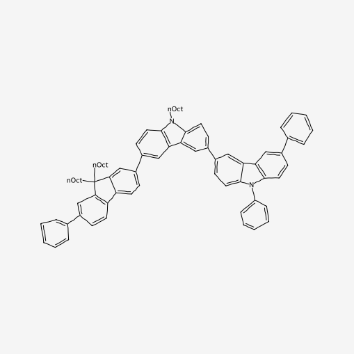 CCCCCCCCn1c2ccc(-c3ccc4c(c3)C(CCCCCCCC)(CCCCCCCC)c3cc(-c5ccccc5)ccc3-4)cc2c2cc(-c3ccc4c(c3)c3cc(-c5ccccc5)ccc3n4-c3ccccc3)ccc21